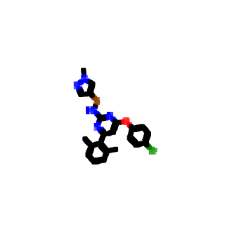 Cc1cccc(C)c1-c1cc(Oc2ccc(Br)cc2)nc(NSc2cnn(C)c2)n1